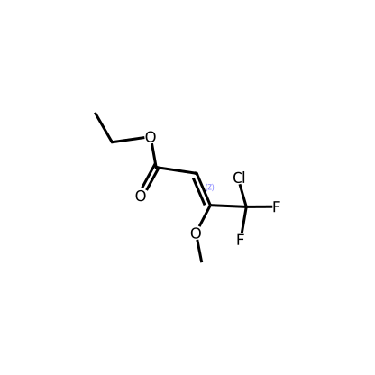 CCOC(=O)/C=C(\OC)C(F)(F)Cl